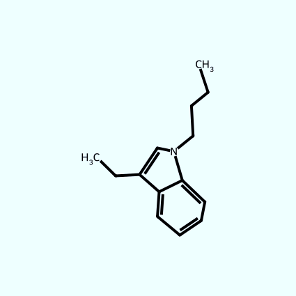 CCCCn1cc(CC)c2ccccc21